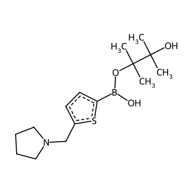 CC(C)(O)C(C)(C)OB(O)c1ccc(CN2CCCC2)s1